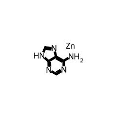 Nc1ncnc2[nH]cnc12.[Zn]